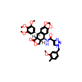 COc1cc(Cn2cc(C(=O)N[C@@H]3c4cc5c(cc4[C@@H](c4cc(OC)c(OC)c(OC)c4)[C@H]4C(=O)OC[C@@H]43)OCO5)nn2)ccc1C